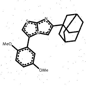 COc1ccc(OC)c(-c2csc3nc(C45CC6CC(CC(C6)C4)C5)cn23)c1